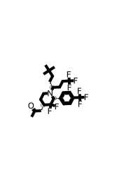 CC(=O)C[C@@H]1CCN([C@H](CCC(C)(C)C)CCC(F)(F)F)[C@H](c2ccc(C(F)(F)F)cc2)C1(F)F